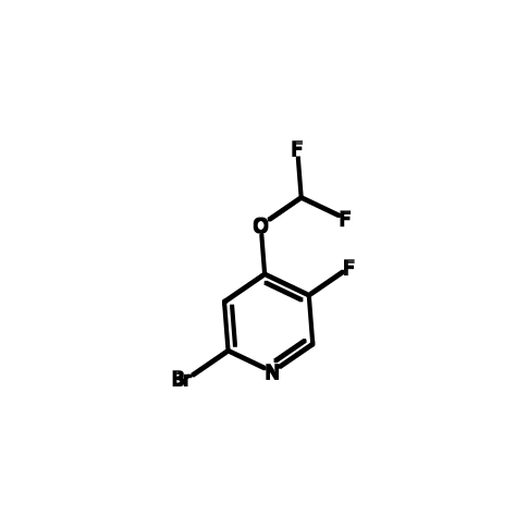 Fc1cnc(Br)cc1OC(F)F